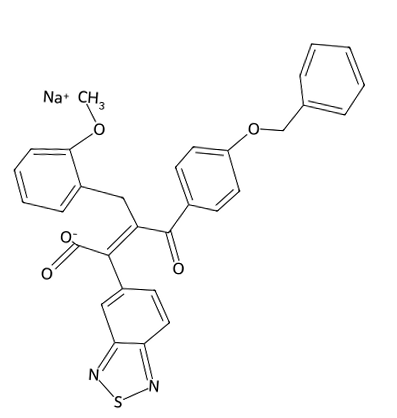 COc1ccccc1CC(C(=O)c1ccc(OCc2ccccc2)cc1)=C(C(=O)[O-])c1ccc2nsnc2c1.[Na+]